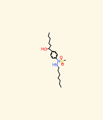 CCCCCCCNN(c1ccc(C(O)CCCCC)cc1)S(C)(=O)=O